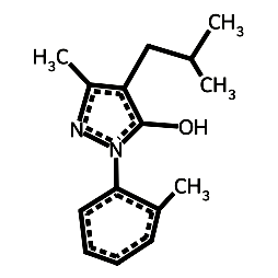 Cc1ccccc1-n1nc(C)c(CC(C)C)c1O